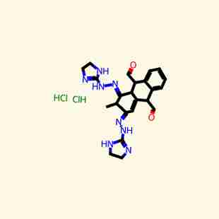 CC1C(=NNC2=NCCN2)C=C2C(C=O)c3ccccc3C(C=O)C2C1=NNC1=NCCN1.Cl.Cl